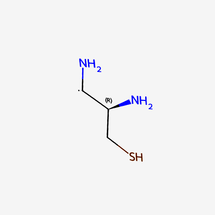 N[CH][C@@H](N)CS